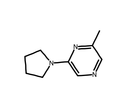 Cc1cncc(N2CCCC2)n1